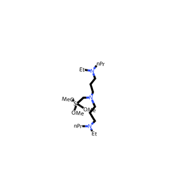 CCCN(CC)CCCN(CCCN(CC)CCC)C[Si](OC)(OC)OC